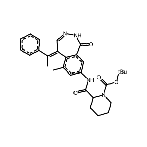 C/C(=C1/C=NNC(=O)c2cc(NC(=O)C3CCCCN3C(=O)OC(C)(C)C)cc(C)c21)c1ccccc1